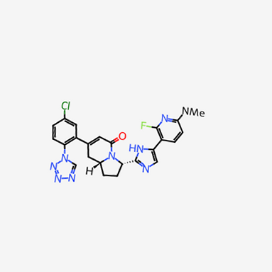 CNc1ccc(-c2cnc([C@@H]3CC[C@@H]4CC(c5cc(Cl)ccc5-n5cnnn5)=CC(=O)N43)[nH]2)c(F)n1